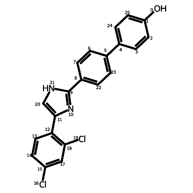 Oc1ccc(-c2ccc(-c3nc(-c4ccc(Cl)cc4Cl)c[nH]3)cc2)cc1